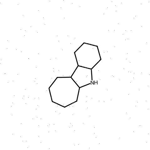 C1CCC2NC3CCCCC3C2CC1